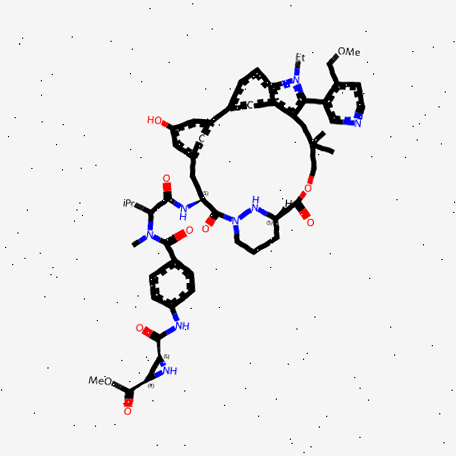 CCn1c(-c2cnccc2COC)c2c3cc(ccc31)-c1cc(O)cc(c1)C[C@H](NC(=O)C(C(C)C)N(C)C(=O)c1ccc(NC(=O)[C@H]3N[C@H]3C(=O)OC)cc1)C(=O)N1CCC[C@H](N1)C(=O)OCC(C)(C)C2